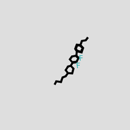 CCCCCC1CCC(C2=C(F)C(F)=C(c3ccc(CCC)cc3)CC2)CC1